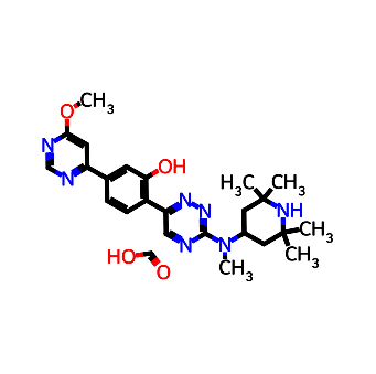 COc1cc(-c2ccc(-c3cnc(N(C)C4CC(C)(C)NC(C)(C)C4)nn3)c(O)c2)ncn1.O=CO